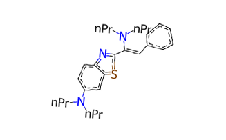 CCCN(CCC)C(=Cc1ccccc1)c1nc2ccc(N(CCC)CCC)cc2s1